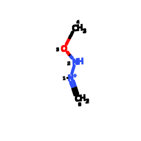 C=[N+]NOC